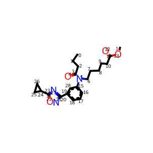 CCCC(=O)N(CCCCCC(=O)OC)c1cccc(-c2noc(C3CC3)n2)c1